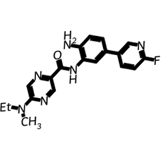 CCN(C)c1cnc(C(=O)Nc2cc(-c3ccc(F)nc3)ccc2N)cn1